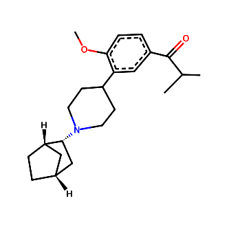 COc1ccc(C(=O)C(C)C)cc1C1CCN([C@@H]2C[C@@H]3CC[C@H]2C3)CC1